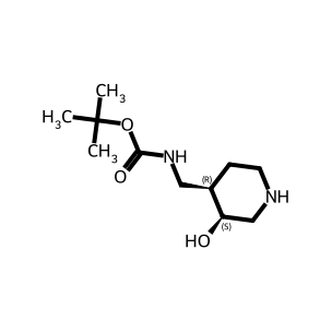 CC(C)(C)OC(=O)NC[C@H]1CCNC[C@H]1O